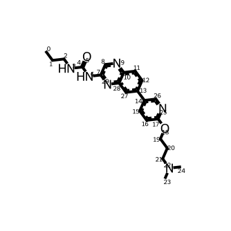 CCCNC(=O)Nc1cnc2ccc(-c3ccc(OCCCN(C)C)nc3)cc2n1